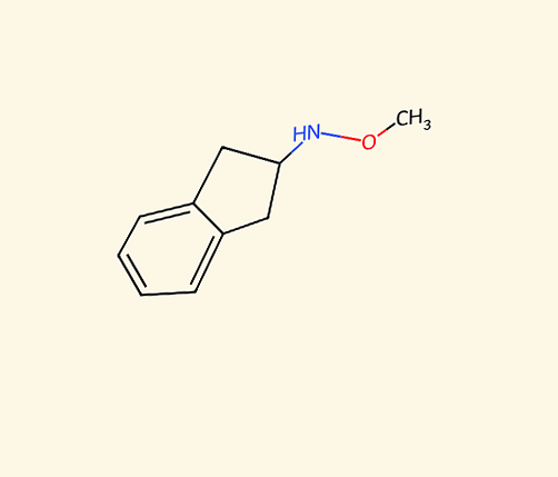 CONC1Cc2ccccc2C1